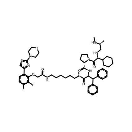 CN[C@@H](C)CN[C@H](C(=O)N1CCC[C@H]1C(=O)N[C@H](C(=O)NCCCCCCNC(=O)COc1c(-c2csc(N3CCOCC3)n2)ccc(F)c1F)C(c1ccccc1)c1ccccc1)C1CCCCC1